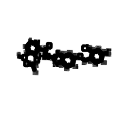 COc1ccnc(C(=O)Nc2nc3ccc(OCc4ccc(F)cc4Cl)cc3s2)c1OC(C)=O